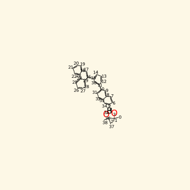 CC1(C)OB(c2ccc3cc(-c4cccc(-c5cc6ccccc6c6ccccc56)c4)ccc3c2)OC1(C)C